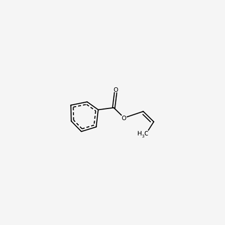 C/C=C\OC(=O)c1ccccc1